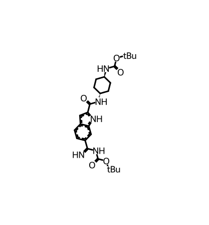 CC(C)(C)OC(=O)NC(=N)c1ccc2cc(C(=O)N[C@H]3CC[C@H](NC(=O)OC(C)(C)C)CC3)[nH]c2c1